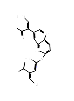 CC(=N)/C(=C\N)c1cnc2ccc(N/C(N)=C/C(=C\N)C(C)C)nc2c1